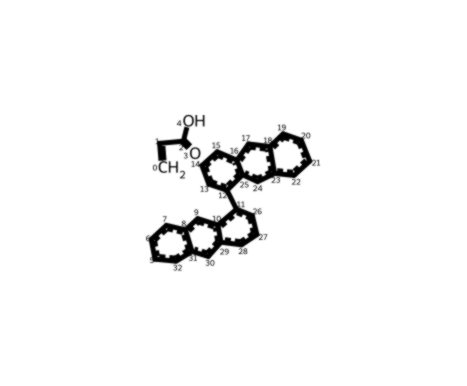 C=CC(=O)O.c1ccc2cc3c(-c4cccc5cc6ccccc6cc45)cccc3cc2c1